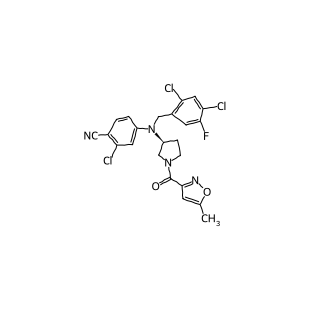 Cc1cc(C(=O)N2CC[C@H](N(Cc3cc(F)c(Cl)cc3Cl)c3ccc(C#N)c(Cl)c3)C2)no1